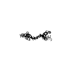 Nc1ncnc2c1c(-c1ccc(Oc3ccccc3)cc1)nn2C1CCN(C2CCN(C3CN(c4ccc5c(c4)C(=O)N(C4CCC(=O)NC4=O)C5=O)C3)C2)CC1